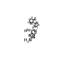 CCCc1c(Cn2ccnc2-c2ncccc2F)ncn2nc(N)nc12